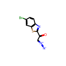 [N-]=[N+]=CC(=O)c1nc2ccc(Br)cc2s1